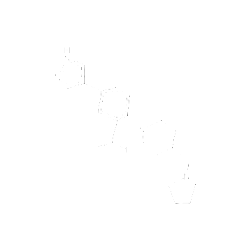 FC(F)c1cc(-c2cn[nH]c2)ccc1N1CCC(CN2CCCC2)CC1